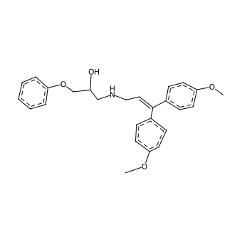 COc1ccc(C(=CCNCC(O)COc2ccccc2)c2ccc(OC)cc2)cc1